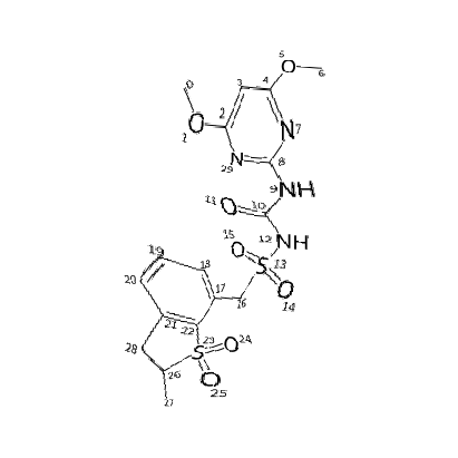 COc1cc(OC)nc(NC(=O)NS(=O)(=O)Cc2cccc3c2S(=O)(=O)C(C)C3)n1